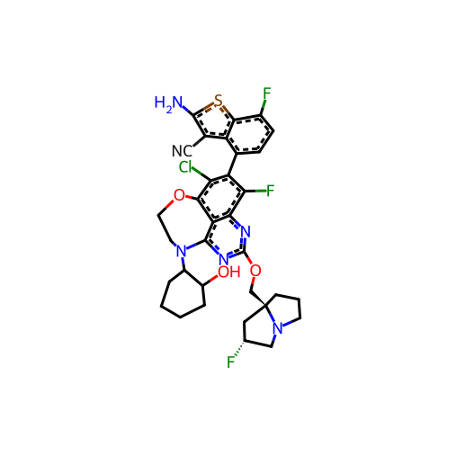 N#Cc1c(N)sc2c(F)ccc(-c3c(Cl)c4c5c(nc(OC[C@@]67CCCN6C[C@H](F)C7)nc5c3F)N(C3CCCCC3O)CCO4)c12